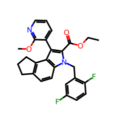 CCOC(=O)c1c(-c2cccnc2OC)c2c3c(ccc2n1Cc1cc(F)ccc1F)CCC3